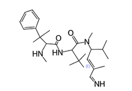 CNC(C(=O)NC(C(=O)N(C)C(/C=C(\C)C=N)C(C)C)C(C)(C)C)C(C)(C)c1ccccc1